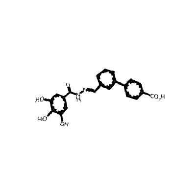 O=C(O)c1ccc(-c2cccc(/C=N/NC(=O)c3cc(O)c(O)c(O)c3)c2)cc1